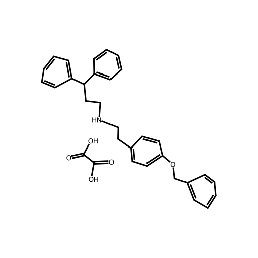 O=C(O)C(=O)O.c1ccc(COc2ccc(CCNCCC(c3ccccc3)c3ccccc3)cc2)cc1